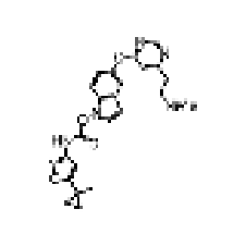 CNCCc1cc(Oc2ccc3c(ccn3OC(=O)Nc3cc(C4(C)CC4)on3)c2)ncn1